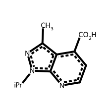 Cc1nn(C(C)C)c2nccc(C(=O)O)c12